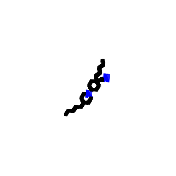 CCCCCC1CCN(C2CCC(C#N)(CCCCC)CC2)CC1